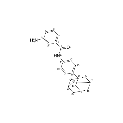 Nc1cccc(C(=O)Nc2ccc(C34CC5CC(CC(C5)C3)C4)cc2)c1